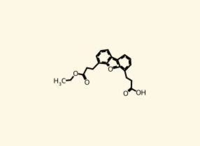 CCOC(=O)CCc1cccc2c1oc1c(CCC(=O)O)cccc12